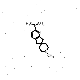 CN1CCC2(CC1)Cc1ccc(N(C)C)nc1C2